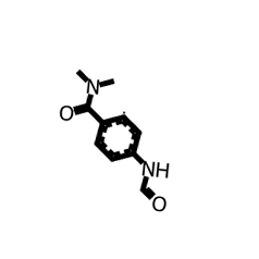 CN(C)C(=O)c1[c]cc(NC=O)cc1